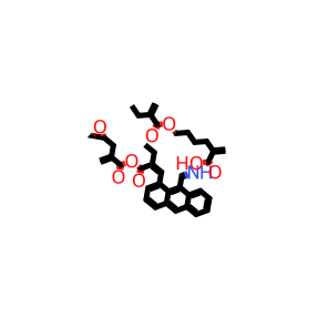 C=C(CC1CO1)C(=O)OC(=O)C(=Cc1cccc2cc3ccccc3c(C=N)c12)CC.C=C(CCCCOC(=O)C(=C)CC)C(=O)O